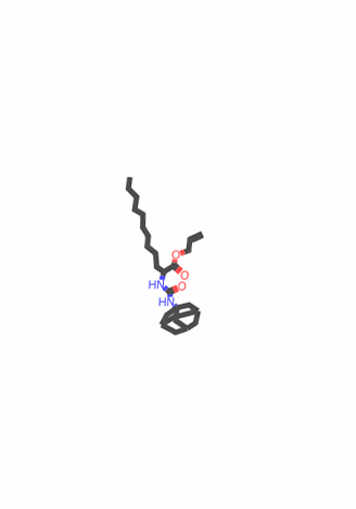 C=CCOC(=O)C(CCCCCCCCCC)NC(=O)NC12CC3CC(CC(C3)C1)C2